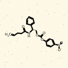 C=CCCC(=O)N[C@@H](COC(=O)Oc1ccc([N+](=O)[O-])cc1)c1ccccc1